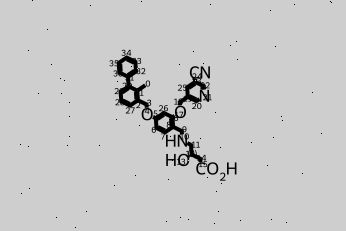 Cc1c(COc2ccc(CNC[C@@H](O)CC(=O)O)c(OCc3cncc(C#N)c3)c2)cccc1-c1ccccc1